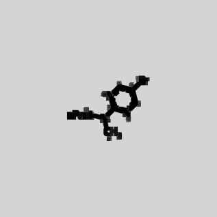 CCCCCN(C)c1ncc(Br)cn1